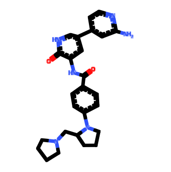 Nc1cc(-c2c[nH]c(=O)c(NC(=O)c3ccc(N4CCCC4CN4CCCC4)cc3)c2)ccn1